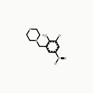 Cc1c(Cl)cc([N+](=O)[O-])cc1CN1CCOCC1